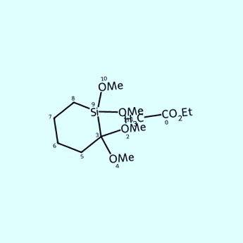 CCOC(C)=O.COC1(OC)CCCC[Si]1(OC)OC